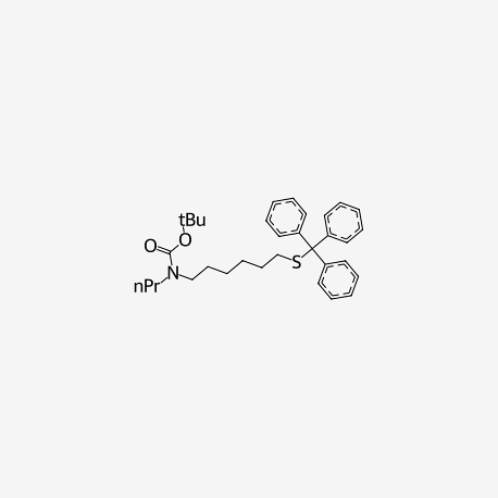 CCCN(CCCCCCSC(c1ccccc1)(c1ccccc1)c1ccccc1)C(=O)OC(C)(C)C